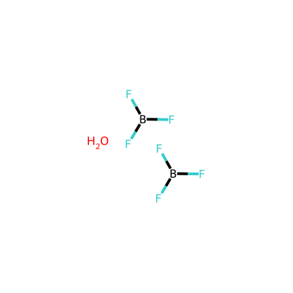 FB(F)F.FB(F)F.O